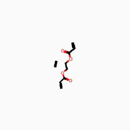 C=C.C=CC(=O)OCCOC(=O)C=C